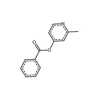 Cc1cc(OC(=O)c2ccccc2)ccn1